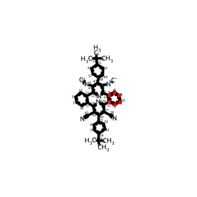 [C-]#[N+]c1c(-c2ccccc2)nc(-c2ccccc2-c2nc(-c3ccccc3)c(C#N)c(-c3ccc(C(C)(C)C)cc3)c2C#N)c([N+]#[C-])c1-c1ccc(C(C)(C)C)cc1